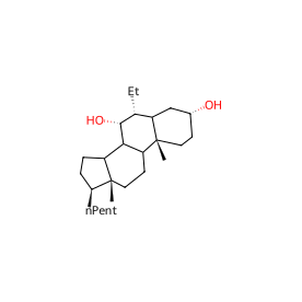 CCCCC[C@H]1CCC2C3C(CC[C@@]21C)[C@@]1(C)CC[C@@H](O)CC1[C@@H](CC)[C@H]3O